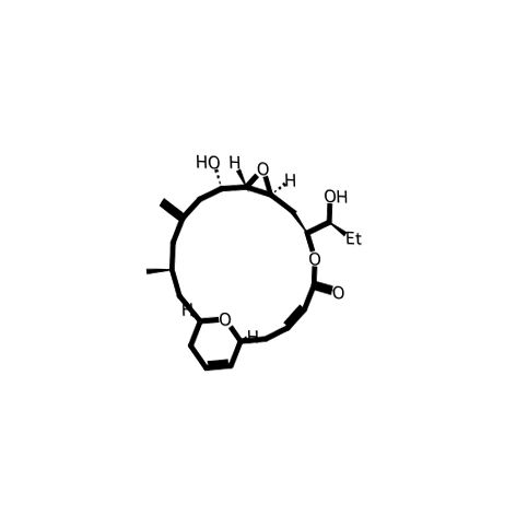 C=C1C[C@H](C)C[C@@H]2CC=C[C@@H](C/C=C\C(=O)O[C@H]([C@@H](O)CC)C[C@@H]3O[C@H]3[C@@H](O)C1)O2